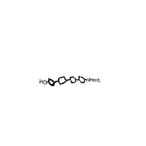 CCCCCC1CCC(C2CCC(C3CCC(c4ccc(O)cc4)CC3)CC2)CC1